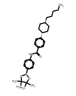 CCCCC[C@H]1CC[C@H](c2ccc(C(=O)Nc3ccc(B4OC(C)(C)C(C)(C)O4)cc3)cc2)CC1